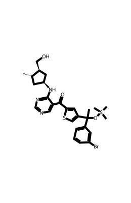 C[C@H]1C[C@H](Nc2ncncc2C(=O)c2cc(C(C)(O[Si](C)(C)C)c3cccc(Br)c3)cs2)C[C@@H]1CO